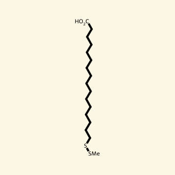 CSSCCCCCCCCCCCCCCCC(=O)O